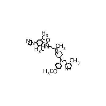 COc1ccc(N(Cc2cnccc2C)C2CCN([C@H](C)CCNC(=O)c3c(C)cc(-n4ccnc4)cc3C)CC2)cc1